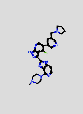 CN1CCN(c2nccc3[nH]c(-c4n[nH]c5ncc(-c6cncc(CN7CCCC7)c6)c(F)c45)nc23)CC1